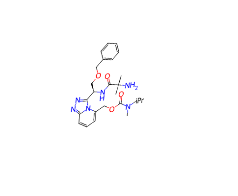 CC(C)N(C)C(=O)OCc1cccc2nnc([C@@H](COCc3ccccc3)NC(=O)C(C)(C)N)n12